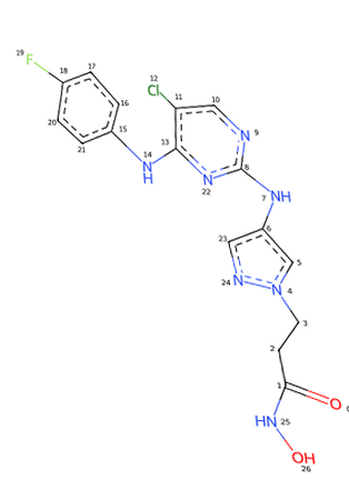 O=C(CCn1cc(Nc2ncc(Cl)c(Nc3ccc(F)cc3)n2)cn1)NO